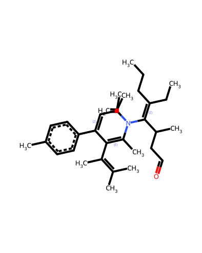 C=C(C)N(/C(=C(/CC)CCC)C(C)CC=O)/C(C)=C(C(C)=C(C)C)\C(=C/CC)c1ccc(C)cc1